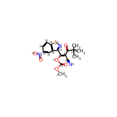 COC(=O)OC(=C(C#N)C(=O)C(C)(C)C)c1nsc2ccc([N+](=O)[O-])cc12